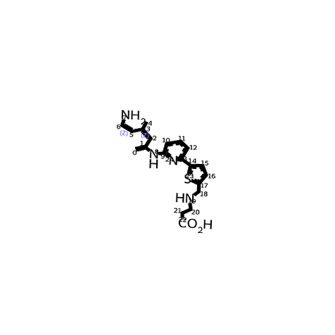 C=C(/C=C(C)\C=C/N)Nc1cccc(-c2ccc(CNCCC(=O)O)s2)n1